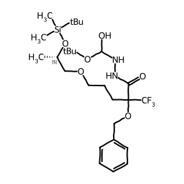 C[C@@H](COCCCC(OCc1ccccc1)(C(=O)NNC(O)OC(C)(C)C)C(F)(F)F)O[Si](C)(C)C(C)(C)C